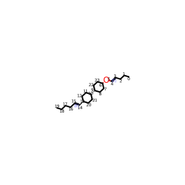 CCC/C=C/OC1CCC([C@H]2CC[C@H](/C=C/CCCC)CC2)CC1